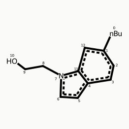 CCCCc1ccc2ccn(CCO)c2c1